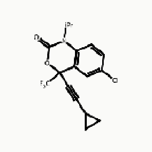 CC(C)N1C(=O)OC(C#CC2CC2)(C(F)(F)F)c2cc(Cl)ccc21